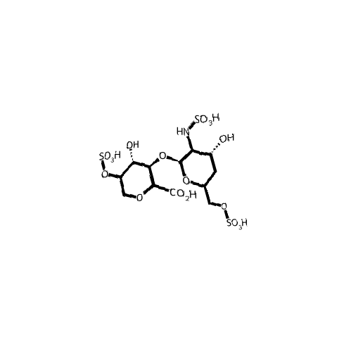 O=C(O)C1OCC(OS(=O)(=O)O)[C@H](O)[C@H]1O[C@@H]1OC(COS(=O)(=O)O)C[C@@H](O)C1NS(=O)(=O)O